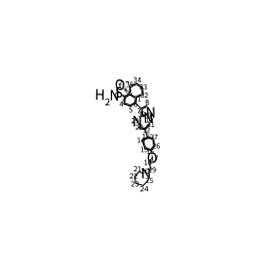 N[S+]([O-])c1ccc(-c2cnn3cc(-c4ccc(OCCN5CCCCC5)cc4)cnc23)c2ccccc12